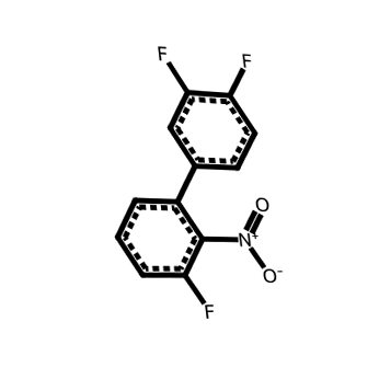 O=[N+]([O-])c1c(F)cccc1-c1ccc(F)c(F)c1